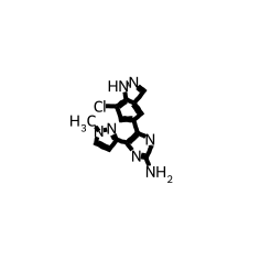 Cn1ccc(-c2nc(N)cnc2-c2cc(Cl)c3[nH]ncc3c2)n1